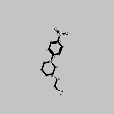 O=[N+]([O-])c1ccc(N2CCC[C@@H](CCO)C2)cc1